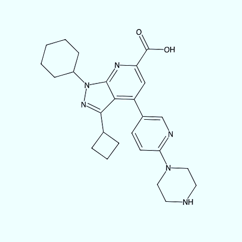 O=C(O)c1cc(-c2ccc(N3CCNCC3)nc2)c2c(C3CCC3)nn(C3CCCCC3)c2n1